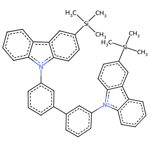 C[Si](C)(C)c1ccc2c(c1)c1ccccc1n2-c1cccc(-c2cccc(-n3c4ccccc4c4cc([Si](C)(C)C)ccc43)c2)c1